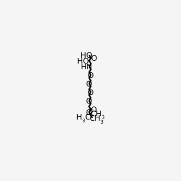 CC(C)(C)OC(=O)CCOCCOCCOCCOCCNCC(O)C(=O)O